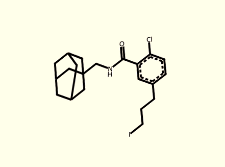 O=C(NCC12CC3CC(CC(C3)C1)C2)c1cc(CCCI)ccc1Cl